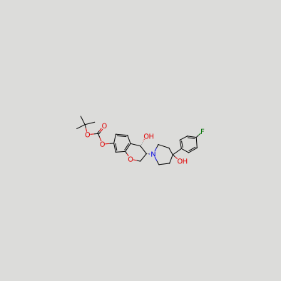 CC(C)(C)OC(=O)Oc1ccc2c(c1)OC[C@@H](N1CCC(O)(c3ccc(F)cc3)CC1)[C@H]2O